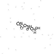 Cc1cc(C(=O)Nc2ccc(-c3nc4ccccc4s3)c(Cl)c2)ccc1NO